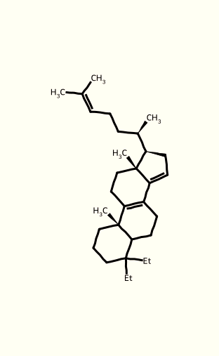 CCC1(CC)CCC[C@]2(C)C3=C(CCC12)C1=CC[C@H]([C@H](C)CCC=C(C)C)[C@@]1(C)CC3